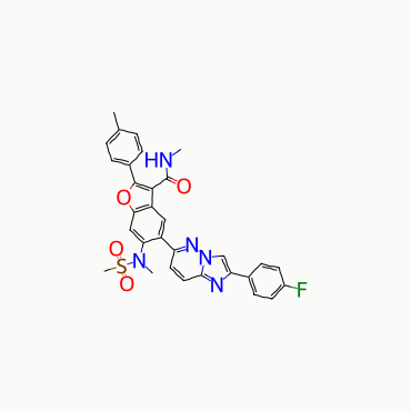 CNC(=O)c1c(-c2ccc(C)cc2)oc2cc(N(C)S(C)(=O)=O)c(-c3ccc4nc(-c5ccc(F)cc5)cn4n3)cc12